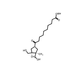 COC(=O)CCCCCCCCC(=O)N1C[C@](C)(CO)[C@](C)(CO)C1